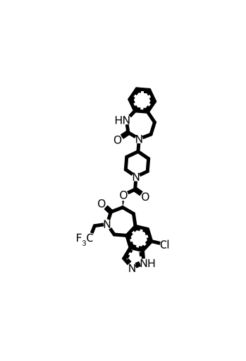 O=C(O[C@@H]1Cc2cc(Cl)c3[nH]ncc3c2CN(CC(F)(F)F)C1=O)N1CCC(N2CCc3ccccc3NC2=O)CC1